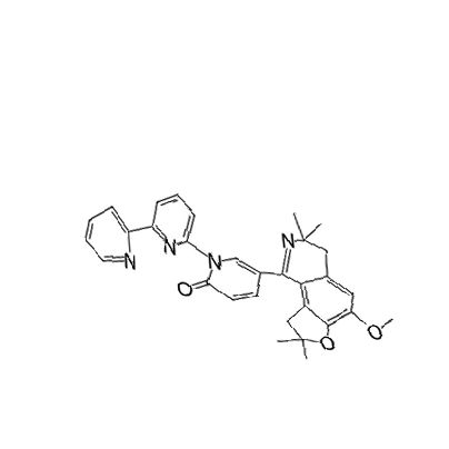 COc1cc2c(c3c1OC(C)(C)C3)C(c1ccc(=O)n(-c3cccc(-c4ccccn4)n3)c1)=NC(C)(C)C2